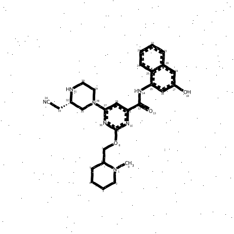 CN1CCCCC1COc1nc(C(=O)Nc2cc(O)cc3ccccc23)cc(N2CCN[C@@H](CC#N)C2)n1